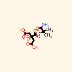 CC(C)(C)C(N)=O.O=C(O)CC(O)(CC(=O)O)C(=O)O